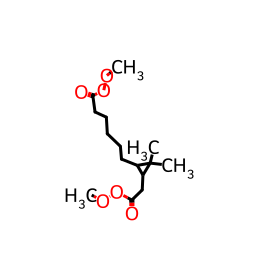 COOC(=O)CCCCCC1C(CC(=O)OOC)C1(C)C